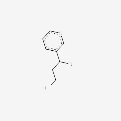 NC(CCO)c1cccnc1